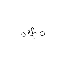 O=C1CC(c2ccccc2)SC(=O)N1CCc1ccccc1